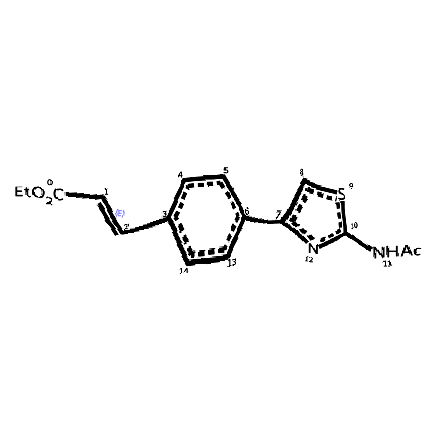 CCOC(=O)/C=C/c1ccc(-c2csc(NC(C)=O)n2)cc1